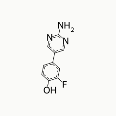 Nc1ncc(-c2ccc(O)c(F)c2)cn1